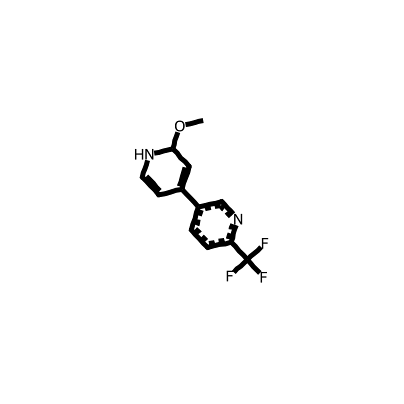 COC1C=C(c2ccc(C(F)(F)F)nc2)C=CN1